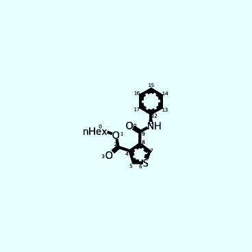 CCCCCCOC(=O)c1cscc1C(=O)Nc1ccccc1